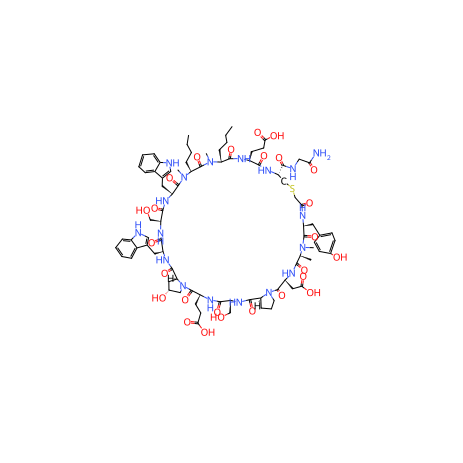 CCCC[C@H]1C(=O)N(C)[C@@H](CCCC)C(=O)N[C@@H](CCC(=O)O)C(=O)N[C@H](C(=O)NCC(N)=O)CSCC(=O)N[C@@H](Cc2ccc(O)cc2)C(=O)N(C)[C@@H](C)C(=O)N[C@@H](CC(=O)O)C(=O)N2CCC[C@H]2C(=O)N[C@@H](CO)C(=O)N[C@@H](CCC(=O)O)C(=O)N2C[C@H](O)C[C@H]2C(=O)N[C@@H](Cc2c[nH]c3ccccc23)C(=O)N[C@@H](CO)C(=O)N[C@@H](Cc2c[nH]c3ccccc23)C(=O)N1C